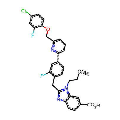 COCCn1c(Cc2ccc(-c3cccc(COc4ccc(Cl)cc4F)n3)cc2F)nc2ccc(C(=O)O)cc21